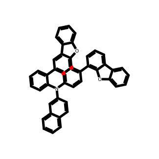 c1ccc(N(c2ccc(-c3cccc4c3oc3ccccc34)cc2)c2ccc3ccccc3c2)c(-c2ccc3oc4ccccc4c3c2)c1